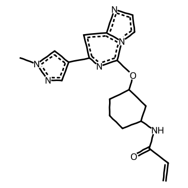 C=CC(=O)NC1CCCC(Oc2nc(-c3cnn(C)c3)cc3nccn23)C1